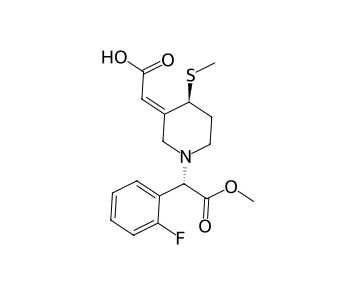 COC(=O)[C@H](c1ccccc1F)N1CC[C@H](SC)/C(=C\C(=O)O)C1